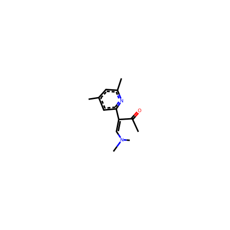 CC(=O)C(=CN(C)C)c1cc(C)cc(C)n1